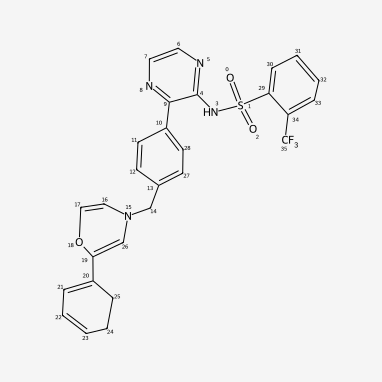 O=S(=O)(Nc1nccnc1-c1ccc(CN2C=COC(C3=CC=CCC3)=C2)cc1)c1ccccc1C(F)(F)F